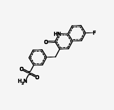 NS(=O)(=O)c1cccc(Cc2cc3cc(F)ccc3[nH]c2=O)c1